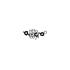 Cc1ccc([C@H](CC(=O)O)NC(=O)Nc2cccn(Cc3cccc(Cl)c3)c2=O)cc1